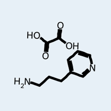 NCCCc1cccnc1.O=C(O)C(=O)O